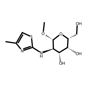 CO[C@@H]1O[C@H](CO)[C@H](O)[C@H](O)[C@H]1Nc1nc(C)cs1